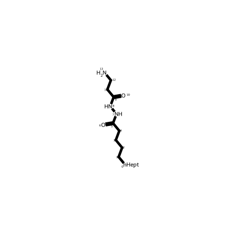 CCCCCCCCCCCC(=O)NNC(=O)CCN